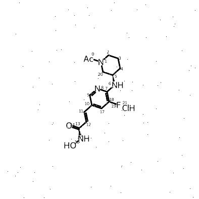 CC(=O)N1CCC[C@@H](Nc2ncc(/C=C/C(=O)NO)cc2F)C1.Cl